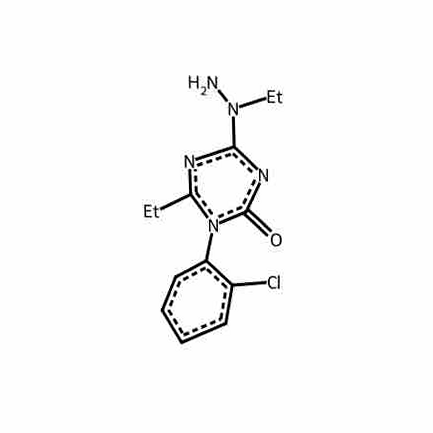 CCc1nc(N(N)CC)nc(=O)n1-c1ccccc1Cl